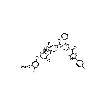 COc1cc(Oc2cc(=O)n(C[C@@]3(O)CCN(C(=O)[C@@H]4CCN(C(=O)c5sc(-c6ccc(C)nc6)nc5C)C[C@H]4c4ccccc4)CC3(F)F)c(N)n2)ccc1F